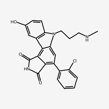 CNCCCn1c2ccc(O)cc2c2c3c(c(-c4ccccc4Cl)cc21)C(=O)NC3=O